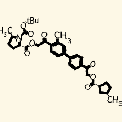 Cc1cc(-c2ccc(C(=O)COC(=O)[C@@H]3CC[C@H](C)C3)cc2)ccc1C(=O)COC(=O)[C@@H]1CC[C@H](C)N1C(=O)OC(C)(C)C